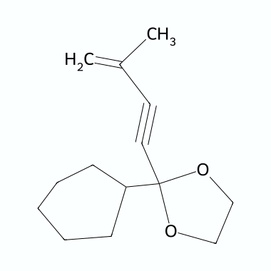 C=C(C)C#CC1(C2CCCCC2)OCCO1